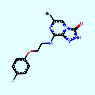 CC(C)(C)c1cn2c(=O)[nH]nc2c(NCCOc2ccc(F)cc2)n1